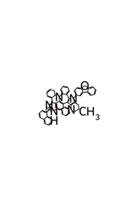 CC1C=Nc2c3c(n(-c4ccc5oc6ccccc6c5c4)c2C1)-c1ccccc1N(C1CC=CC=C1C1=N[C@H](c2cccc4ccccc24)NC(c2ccccc2)=C1)C1=C3CCC=C1